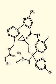 CC(C)(C)OC(=O)NCc1cccc(-n2nc(C(F)(F)F)cc2C(=O)Nc2cc([C@](CCC3CC3)(N[S@+]([O-])C(C)(C)C)c3ccc(C#N)cc3)ccc2F)c1